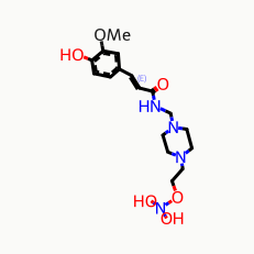 COc1cc(/C=C/C(=O)NCN2CCN(CCON(O)O)CC2)ccc1O